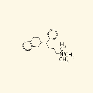 C[N+](C)(C)CCCC(c1ccccc1)C1CCc2ccccc2C1